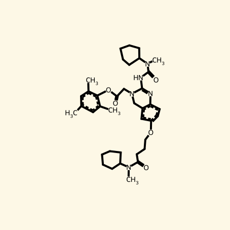 Cc1cc(C)c(OC(=O)CN2Cc3cc(OCCCC(=O)N(C)C4CCCCC4)ccc3N=C2NC(=O)N(C)C2CCCCC2)c(C)c1